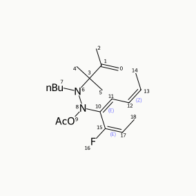 C=C(C)C(C)(C)N(CCCC)N(OC(C)=O)C(=C/C=C\C)/C(F)=C\C